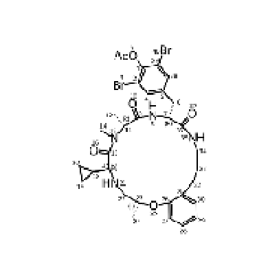 CC(=O)Oc1c(Br)cc(C[C@H]2NC(=O)[C@@H](C)N(C)C(=O)[C@H](C3CC3)NC[C@@H](C)Oc3ccccc3CCCNC2=O)cc1Br